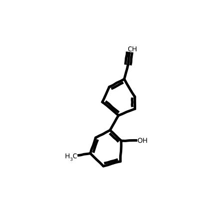 C#Cc1ccc(-c2cc(C)ccc2O)cc1